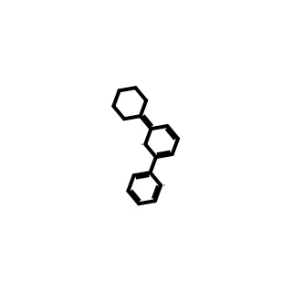 [c]1ccccc1C1=CC=CC(=C2CCCCC2)[CH]1